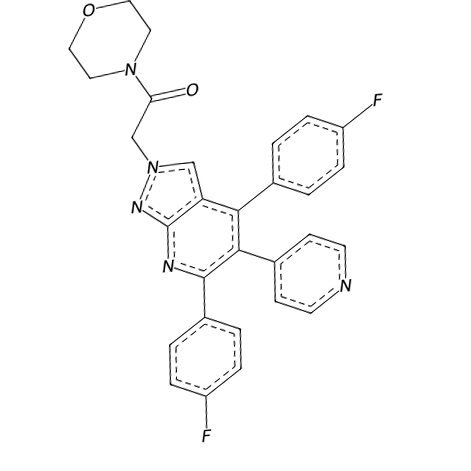 O=C(Cn1cc2c(-c3ccc(F)cc3)c(-c3ccncc3)c(-c3ccc(F)cc3)nc2n1)N1CCOCC1